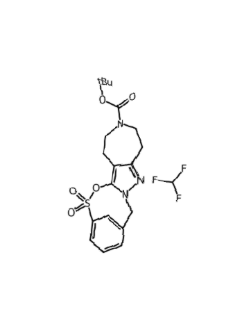 CC(C)(C)OC(=O)N1CCc2nn3c(c2CC1)OS(=O)(=O)c1cccc(c1)C3.FC(F)F